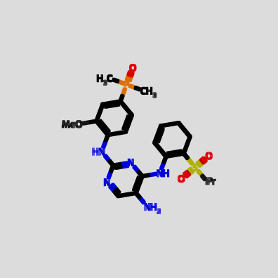 COc1cc(P(C)(C)=O)ccc1Nc1ncc(N)c(NC2=C(S(=O)(=O)C(C)C)CCC=C2)n1